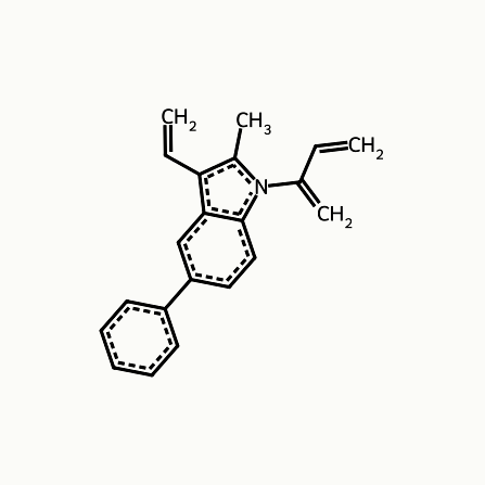 C=CC(=C)n1c(C)c(C=C)c2cc(-c3ccccc3)ccc21